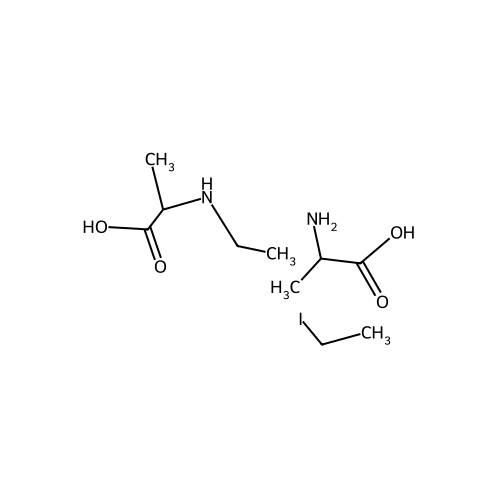 CC(N)C(=O)O.CCI.CCNC(C)C(=O)O